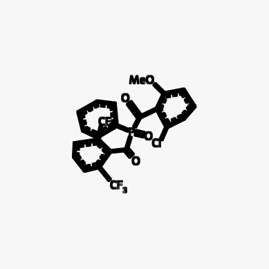 COc1cccc(Cl)c1C(=O)P(=O)(C(=O)c1c(C(F)(F)F)cccc1C(F)(F)F)c1ccccc1